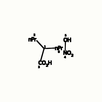 CCCC(CCC)C(=O)O.O=[N+]([O-])O